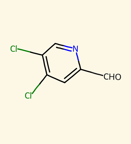 O=Cc1cc(Cl)c(Cl)cn1